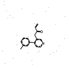 C=CC(=O)Cc1cnccc1-c1cccc(C)c1